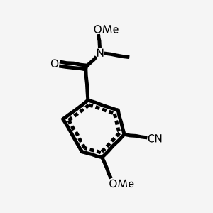 COc1ccc(C(=O)N(C)OC)cc1C#N